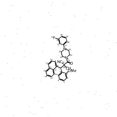 COc1ccccc1[C@@H](c1cccc2ccccc12)[C@](C)(C#N)C(=O)N1CCN(c2cccc(F)c2)CC1